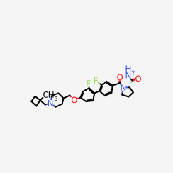 CC1(CN2CCC(COc3ccc(-c4ccc(C(=O)N5CCC[C@H]5C(N)=O)cc4F)c(F)c3)CC2)CCC1